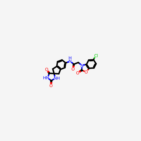 O=C(Cn1c(=O)oc2ccc(Cl)cc21)Nc1ccc2c(c1)CC1(C2)NC(=O)NC1=O